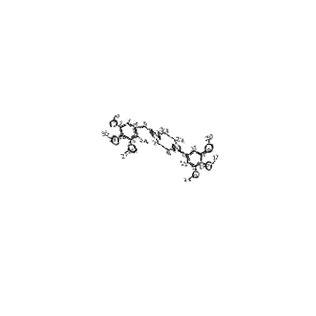 COc1cc(CN2CCN(c3cc(OC)c(OC)c(OC)c3)CC2)cc(OC)c1OC